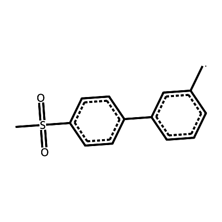 [CH2]c1cccc(-c2ccc(S(C)(=O)=O)cc2)c1